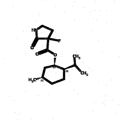 CC(C)[C@H]1CC[C@H](C)C[C@@H]1OC(=O)C1(F)CCNC1=O